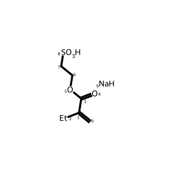 C=C(CC)C(=O)OCCS(=O)(=O)O.[NaH]